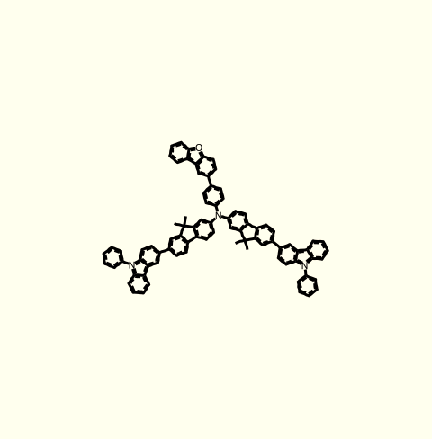 CC1(C)c2cc(-c3ccc4c(c3)c3ccccc3n4-c3ccccc3)ccc2-c2ccc(N(c3ccc(-c4ccc5oc6ccccc6c5c4)cc3)c3ccc4c(c3)C(C)(C)c3cc(-c5ccc6c(c5)c5ccccc5n6-c5ccccc5)ccc3-4)cc21